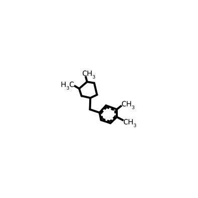 Cc1ccc(CC2CCC(C)C(C)C2)cc1C